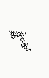 COc1cc2[nH]nc(-c3ccc(N4CCN5CC(O)C[C@H]5C4)nc3)c2nc1-c1cccc2c1CCC2